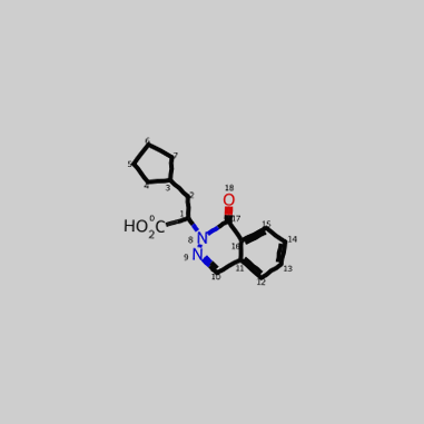 O=C(O)C(CC1CCCC1)n1ncc2ccccc2c1=O